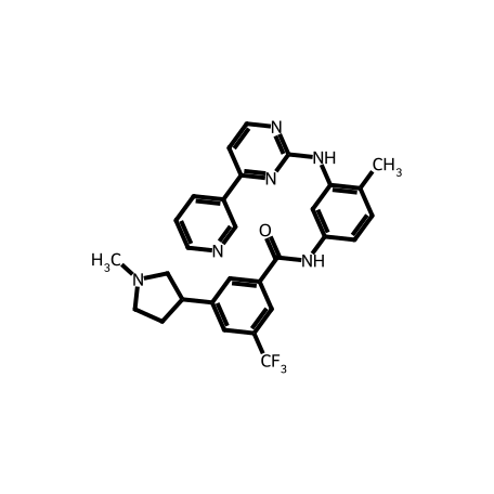 Cc1ccc(NC(=O)c2cc(C3CCN(C)C3)cc(C(F)(F)F)c2)cc1Nc1nccc(-c2cccnc2)n1